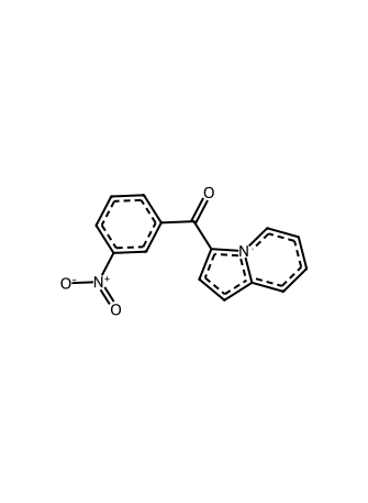 O=C(c1cccc([N+](=O)[O-])c1)c1ccc2ccccn12